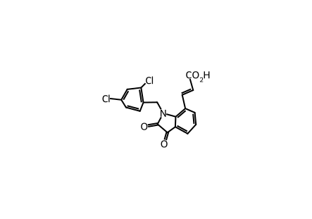 O=C(O)C=Cc1cccc2c1N(Cc1ccc(Cl)cc1Cl)C(=O)C2=O